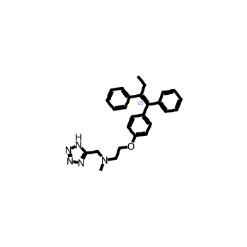 CC/C(=C(\c1ccccc1)c1ccc(OCCN(C)Cc2nnn[nH]2)cc1)c1ccccc1